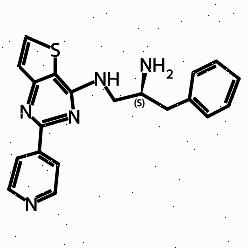 N[C@H](CNc1nc(-c2ccncc2)nc2ccsc12)Cc1ccccc1